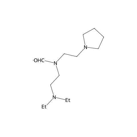 CCN(CC)CCN([C]=O)CCN1CCCC1